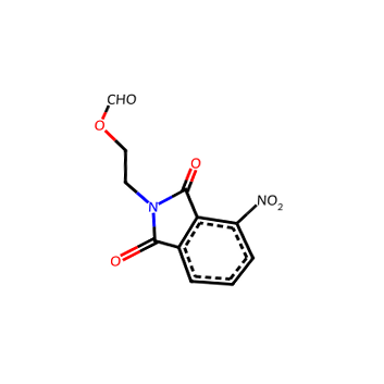 O=COCCN1C(=O)c2cccc([N+](=O)[O-])c2C1=O